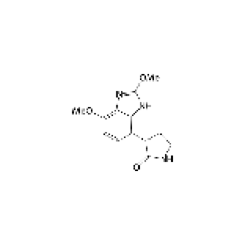 COc1nc2c(OC)ccc(C3CCNC3=O)c2[nH]1